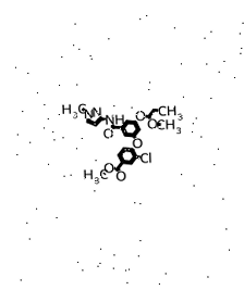 CCC(OC)Oc1cc(Oc2ccc(C(=O)OC)cc2Cl)cc(C(=O)Nc2ccn(C)n2)c1